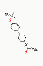 COC(=O)C(C)(C)C1CCC(c2ccc(O[Si](C)(C)C(C)(C)C)cc2)CC1